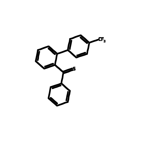 FC(F)(F)c1ccc(-c2ccccc2C(=S)c2ccccc2)cc1